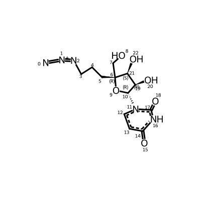 [N-]=[N+]=NCCC[C@]1(CO)O[C@@H](n2ccc(=O)[nH]c2=O)[C@H](O)[C@@H]1O